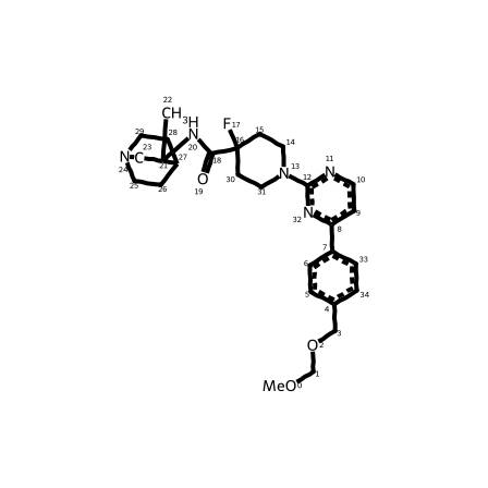 COCOCc1ccc(-c2ccnc(N3CCC(F)(C(=O)NC4(C)CN5CCC4CC5)CC3)n2)cc1